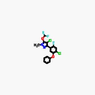 Cn1nc(-c2cc(Oc3ccccc3)c(Cl)cc2F)c(Cl)c1OC(F)F